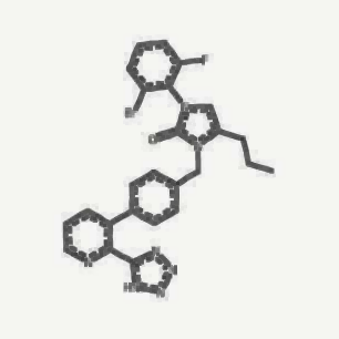 CCCc1cn(-c2c(F)cccc2Br)c(=O)n1Cc1ccc(-c2cccnc2-c2nnn[nH]2)cc1